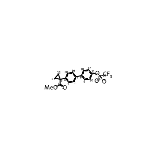 COC(=O)C1(c2ccc(-c3ccc(OS(=O)(=O)C(F)(F)F)cc3)cc2)CC1